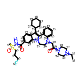 C=S(=O)(CCCF)NC(=O)c1ccc2c(C3CCCCC3)c3n(c2c1)CCN(CC(=O)N1CCN(CC)CC1)c1ccccc1-3